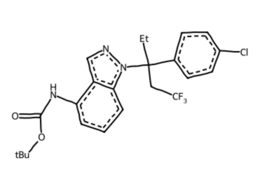 CCC(CC(F)(F)F)(c1ccc(Cl)cc1)n1ncc2c(NC(=O)OC(C)(C)C)cccc21